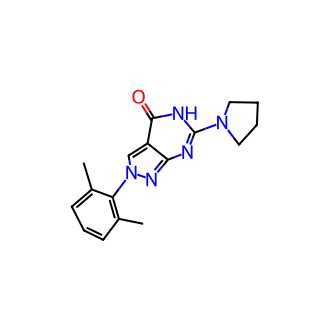 Cc1cccc(C)c1-n1cc2c(=O)[nH]c(N3CCCC3)nc2n1